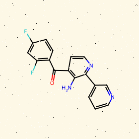 Nc1c(C(=O)c2ccc(F)cc2F)ccnc1-c1cccnc1